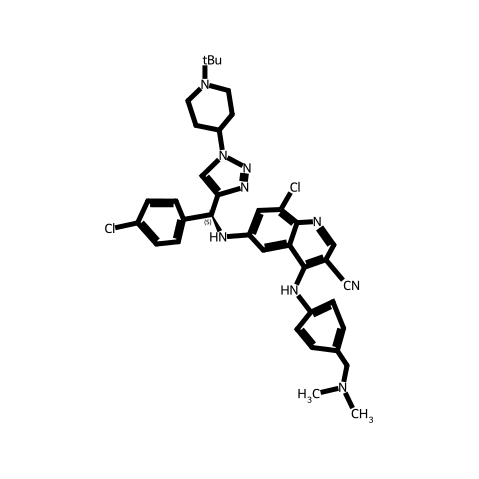 CN(C)Cc1ccc(Nc2c(C#N)cnc3c(Cl)cc(N[C@@H](c4ccc(Cl)cc4)c4cn(C5CCN(C(C)(C)C)CC5)nn4)cc23)cc1